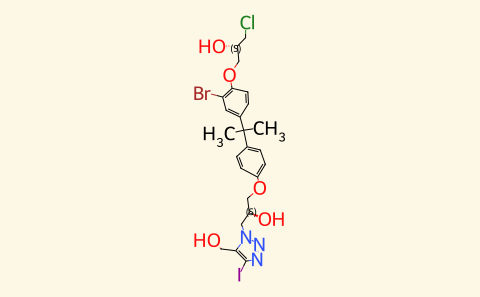 CC(C)(c1ccc(OC[C@@H](O)Cn2nnc(I)c2CO)cc1)c1ccc(OC[C@H](O)CCl)c(Br)c1